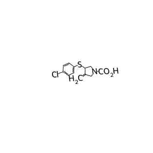 C=C1CN(C(=O)O)CC1Sc1ccc(Cl)cc1